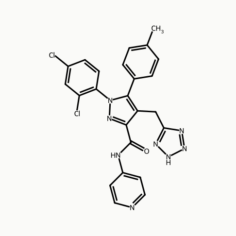 Cc1ccc(-c2c(Cc3nn[nH]n3)c(C(=O)Nc3ccncc3)nn2-c2ccc(Cl)cc2Cl)cc1